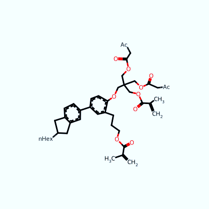 C=C(C)C(=O)OCCCc1cc(-c2ccc3c(c2)CC(CCCCCC)C3)ccc1OCC(COC(=O)CC(C)=O)(COC(=O)CC(C)=O)COC(=O)C(=C)C